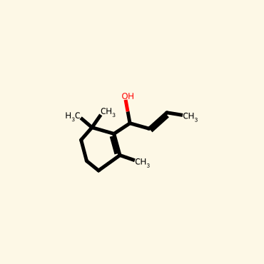 C/C=C/C(O)C1=C(C)CCCC1(C)C